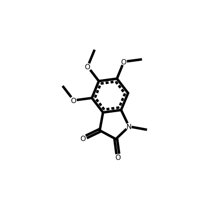 COc1cc2c(c(OC)c1OC)C(=O)C(=O)N2C